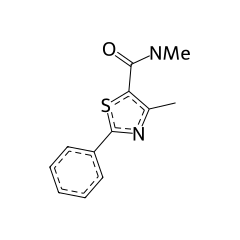 [CH2-][NH2+]C(=O)c1sc(-c2ccccc2)nc1C